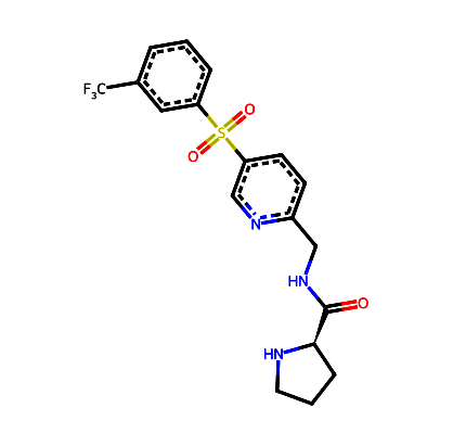 O=C(NCc1ccc(S(=O)(=O)c2cccc(C(F)(F)F)c2)cn1)[C@H]1CCCN1